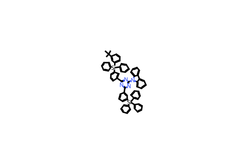 CC(C)(C)c1cccc([Si](c2ccccc2)(c2ccccc2)c2cccc(-c3nc(-c4cccc([Si](c5ccccc5)(c5ccccc5)c5ccccc5)c4)nc(-n4c5ccccc5c5ccccc54)n3)c2)c1